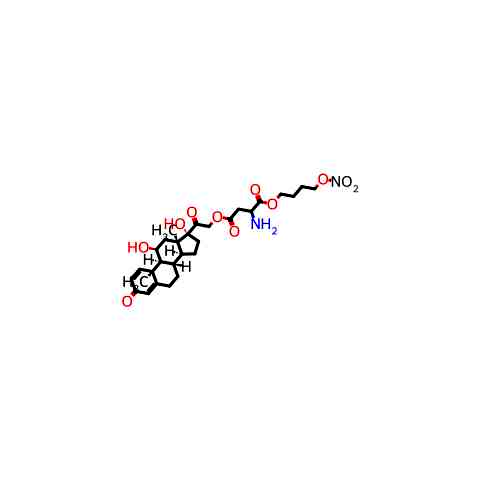 C[C@]12C=CC(=O)C=C1CC[C@@H]1[C@@H]2[C@@H](O)C[C@@]2(C)[C@H]1CC[C@]2(O)C(=O)COC(=O)CC(N)C(=O)OCCCCO[N+](=O)[O-]